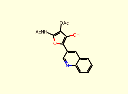 CC(=O)Nc1oc(-c2cnc3ccccc3c2)c(O)c1OC(C)=O